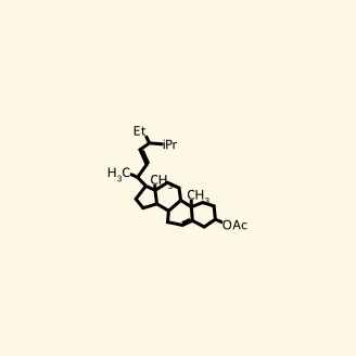 CCC(/C=C/C(C)C1CCC2C3CC=C4CC(OC(C)=O)CCC4(C)C3CCC12C)C(C)C